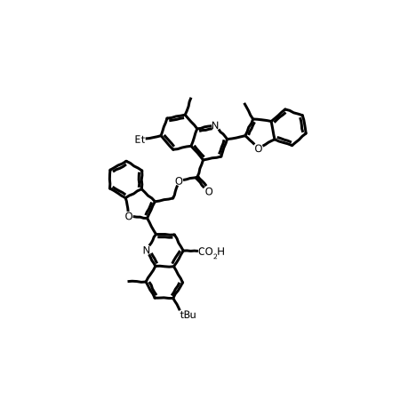 CCc1cc(C)c2nc(-c3oc4ccccc4c3C)cc(C(=O)OCc3c(-c4cc(C(=O)O)c5cc(C(C)(C)C)cc(C)c5n4)oc4ccccc34)c2c1